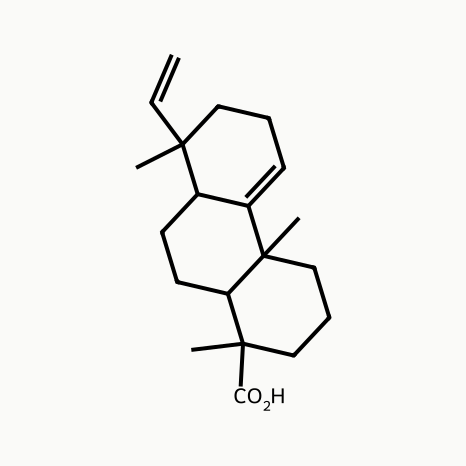 C=CC1(C)CCC=C2C1CCC1C(C)(C(=O)O)CCCC21C